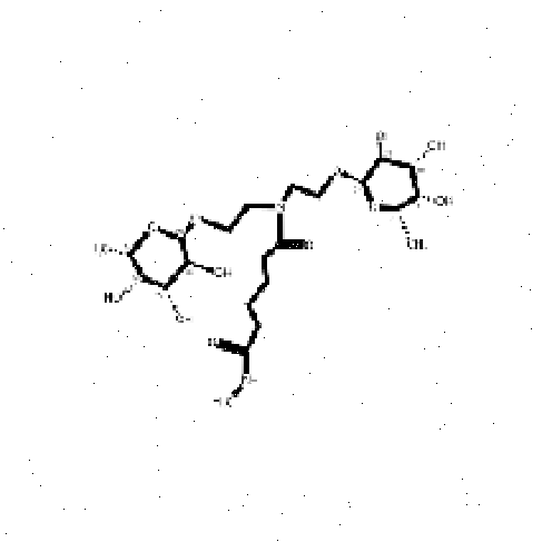 CNC(=O)CCCCC(=O)N(CCO[C@@H]1O[C@@H](C)[C@@H](O)[C@@H](O)[C@@H]1O)CCO[C@@H]1O[C@@H](C)[C@@H](O)[C@@H](O)[C@@H]1O